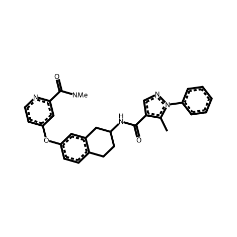 CNC(=O)c1cc(Oc2ccc3c(c2)CC(NC(=O)c2cnn(-c4ccccc4)c2C)CC3)ccn1